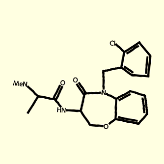 CNC(C)C(=O)NC1COc2ccccc2N(Cc2ccccc2Cl)C1=O